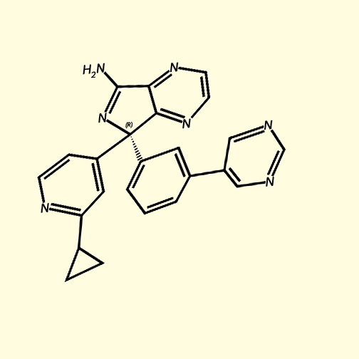 NC1=N[C@](c2cccc(-c3cncnc3)c2)(c2ccnc(C3CC3)c2)c2nccnc21